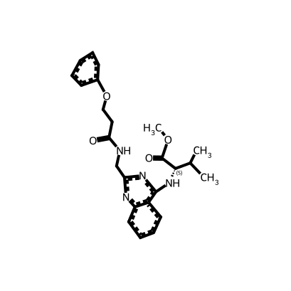 COC(=O)[C@@H](Nc1nc(CNC(=O)CCOc2ccccc2)nc2ccccc12)C(C)C